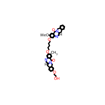 COc1cc2c(cc1OCCCCCOc1cc3c(cc1C)C(=O)N1Cc4cc(OCCO)ccc4C[C@H]1C=N3)N=C[C@@H]1Cc3ccccc3CN1C2=O